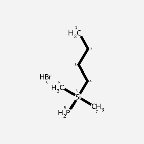 Br.CCCC[Si](C)(C)P